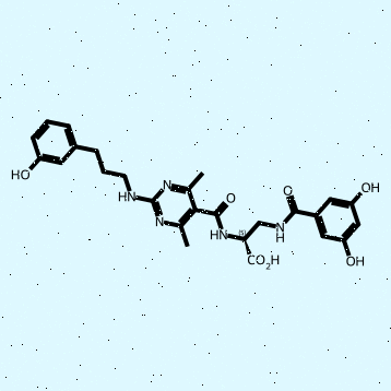 Cc1nc(NCCCc2cccc(O)c2)nc(C)c1C(=O)N[C@@H](CNC(=O)c1cc(O)cc(O)c1)C(=O)O